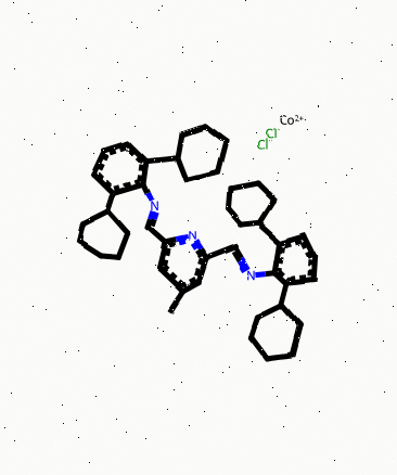 Cc1cc(C=Nc2c(C3CCCCC3)cccc2C2CCCCC2)nc(C=Nc2c(C3CCCCC3)cccc2C2CCCCC2)c1.[Cl-].[Cl-].[Co+2]